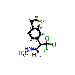 CNC(C)C(c1ccc2ccsc2c1)C(Cl)(Cl)Cl